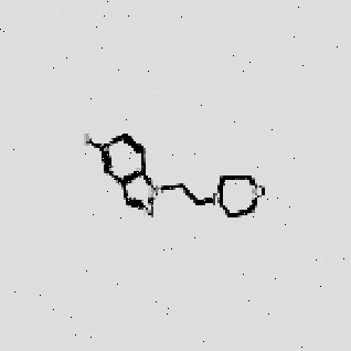 Ic1ccc2c(cnn2CCN2CCOCC2)c1